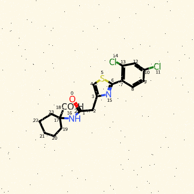 O=C(Cc1csc(-c2ccc(Cl)cc2Cl)n1)NC1(C(=O)O)CCCCC1